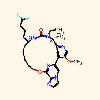 CCN1C(=O)NC(CCCC(F)F)CCCCCOc2nc(cn3ccnc23)-c2cc(ncc2OC)[C@H]1C